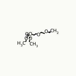 C=COCCOCCOP(=O)(OCC)OCC